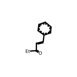 CCC(=O)C=Cc1ccccc1